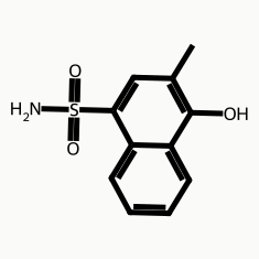 Cc1cc(S(N)(=O)=O)c2ccccc2c1O